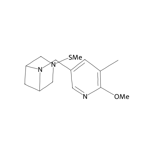 COc1ncc(CN2C3CC2CN(SC)C3)cc1C